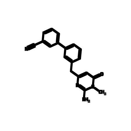 Cn1c(N)nc(Cc2cccc(-c3cccc(C#N)c3)c2)cc1=O